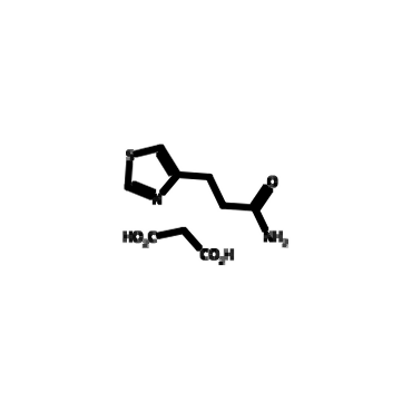 NC(=O)CCc1cscn1.O=C(O)CC(=O)O